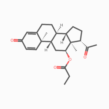 CCC(=O)O[C@H]1C[C@H]2[C@@H](CCC3=CC(=O)C=C[C@@]32C)[C@@H]2CC[C@H](C(C)=O)[C@@]12C